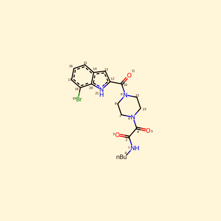 CCCCNC(=O)C(=O)N1CCN(C(=O)c2cc3cccc(Br)c3[nH]2)CC1